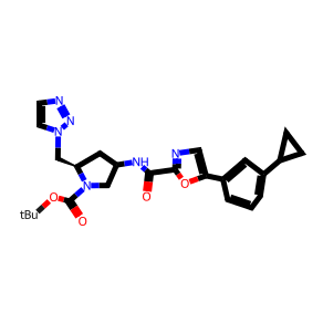 CC(C)(C)OC(=O)N1CC(NC(=O)c2ncc(-c3cccc(C4CC4)c3)o2)C[C@@H]1Cn1ccnn1